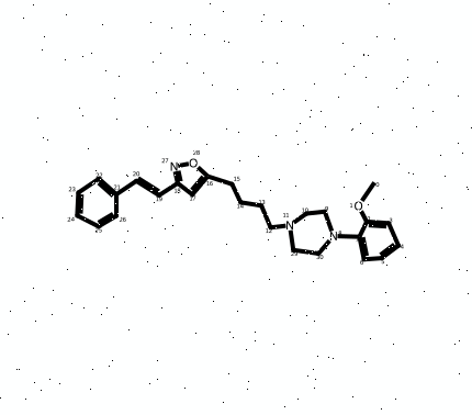 COc1ccccc1N1CCN(CCCCc2cc(C=Cc3ccccc3)no2)CC1